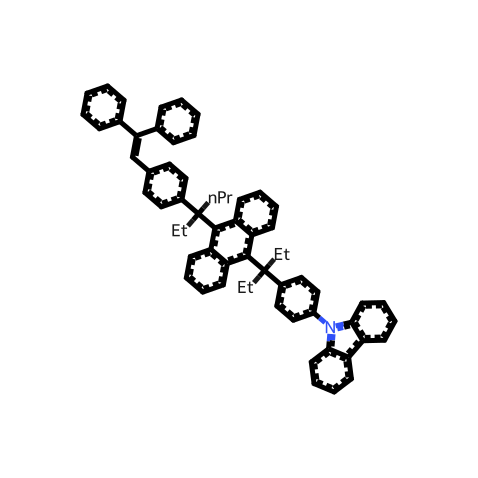 CCCC(CC)(c1ccc(C=C(c2ccccc2)c2ccccc2)cc1)c1c2ccccc2c(C(CC)(CC)c2ccc(-n3c4ccccc4c4ccccc43)cc2)c2ccccc12